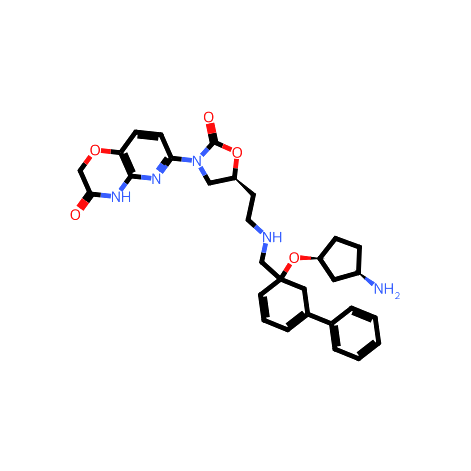 N[C@@H]1CC[C@H](OC2(CNCC[C@H]3CN(c4ccc5c(n4)NC(=O)CO5)C(=O)O3)C=CC=C(c3ccccc3)C2)C1